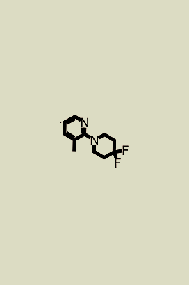 Cc1c[c]cnc1N1CCC(F)(F)CC1